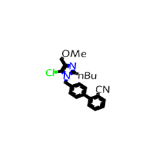 CCCCc1nc(COC)c(Cl)n1Cc1ccc(-c2ccccc2C#N)cc1